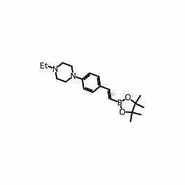 CCN1CCN(c2ccc(/C=C/B3OC(C)(C)C(C)(C)O3)cc2)CC1